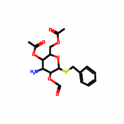 CC(=O)OCC1OC(SCc2ccccc2)C(OC=O)C(N)C1OC(C)=O